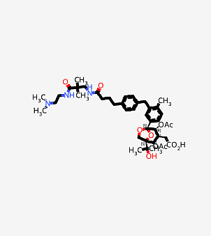 CC(=O)O[C@@H]1[C@@H](CC(=O)O)[C@H](OC(C)=O)[C@]2(C(C)(C)O)CO[C@@]1(c1ccc(C)c(Cc3ccc(CCCC(=O)NCC(C)(C)C(=O)NCCN(C)C)cc3)c1)O2